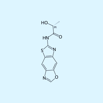 C[C@@H](O)C(=O)Nc1nc2cc3ocnc3cc2s1